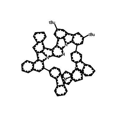 CC(C)(C)c1cc(-c2ccc3c(c2)c2ccccc2n3-c2ccccc2)c2c(c1)c1cc(C(C)(C)C)cc3c4c5c6c7ccccc7cc7c8c9ccccc9cc(-c9ccc%10c(c9)c9ccccc9n%10-c9ccccc9)c8n(c5cnc4n2c13)c76